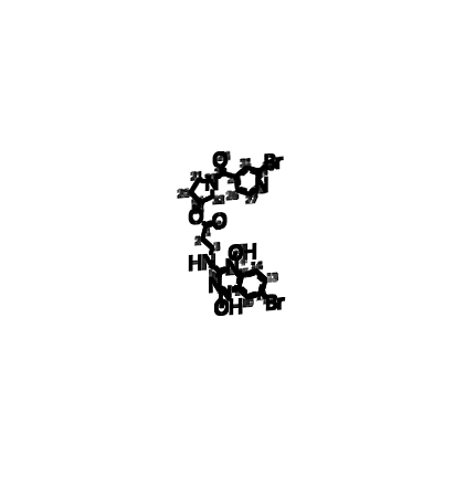 O=C(CCNc1n[n+](O)c2cc(Br)ccc2[n+]1O)O[C@@H]1CCN(C(=O)c2ccnc(Br)c2)C1